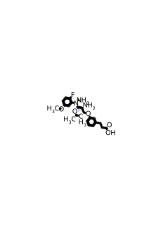 COc1ccc(F)c(N(N)/C(OC(C)C)=C(\N)COc2cccc(CCC(=O)O)c2)c1